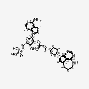 Nc1ncnc2c1ncn2[C@@H]1O[C@H](COP(=O)(O)O)[C@@H](O)[C@H]1OC(=O)OC[C@@H]1CC[C@H](n2cc3c4c(ncnc42)NCCC3)O1